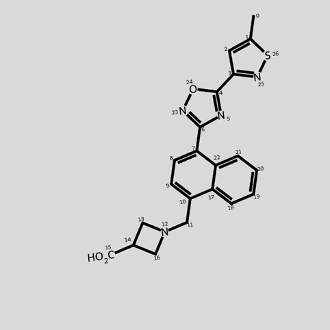 Cc1cc(-c2nc(-c3ccc(CN4CC(C(=O)O)C4)c4ccccc34)no2)ns1